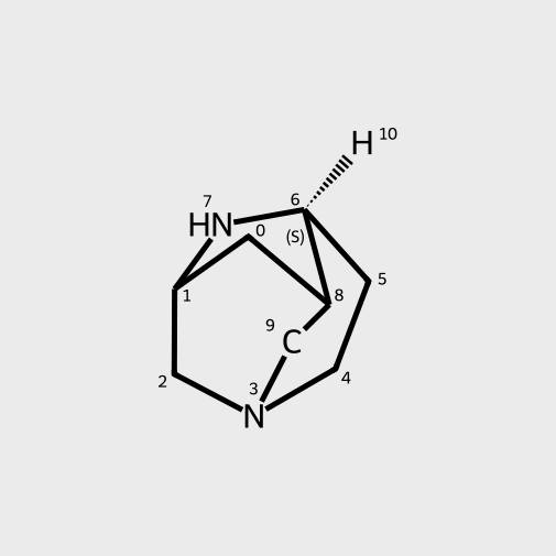 C1C2CN3CC[C@H](N2)C1C3